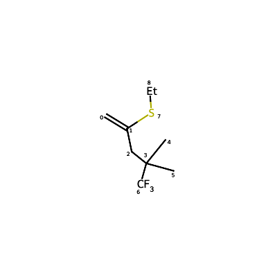 C=C(CC(C)(C)C(F)(F)F)SCC